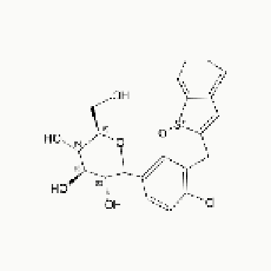 [O-][s+]1c(Cc2cc(C3O[C@H](CO)[C@@H](O)[C@H](O)[C@H]3O)ccc2Cl)cc2ccccc21